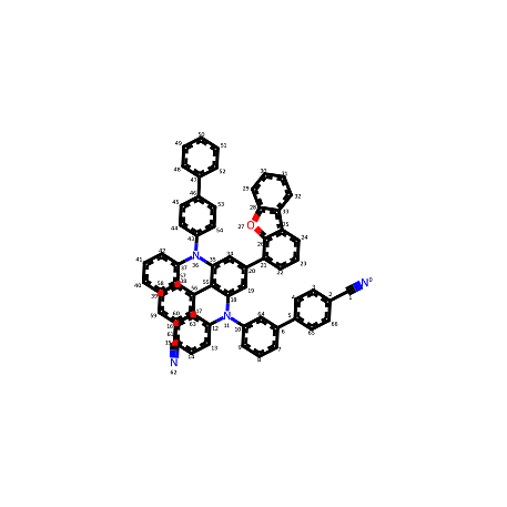 N#Cc1ccc(-c2cccc(N(c3ccccc3)c3cc(-c4cccc5c4oc4ccccc45)cc(N(c4ccccc4)c4ccc(-c5ccccc5)cc4)c3-c3cccc(C#N)c3)c2)cc1